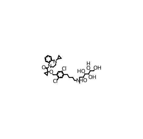 CN(CCCCc1cc(Cl)c(COC2(C(=O)N3CCN(C4CC4)c4ccccc43)CC2)cc1Cl)C[C@H](O)[C@@H](O)[C@H](O)[C@H](O)CO